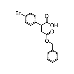 O=C(CC(C(=O)O)c1ccc(Br)cc1)OCc1ccccc1